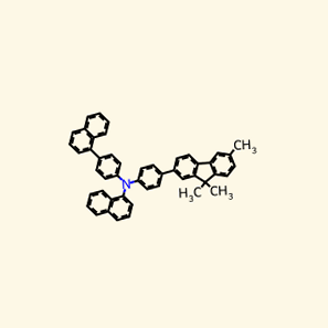 Cc1ccc2c(c1)-c1ccc(-c3ccc(N(c4ccc(-c5cccc6ccccc56)cc4)c4cccc5ccccc45)cc3)cc1C2(C)C